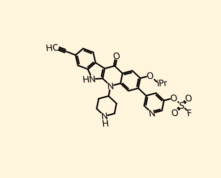 C#Cc1ccc2c(c1)[nH]c1c2c(=O)c2cc(OC(C)C)c(-c3cncc(OS(=O)(=O)F)c3)cc2n1C1CCNCC1